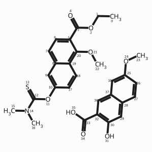 CCOC(=O)c1ccc2cc(OC(=S)N(C)C)ccc2c1OC.COc1ccc2cc(O)c(C(=O)O)cc2c1